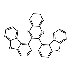 c1ccc2nc(-c3cccc4oc5ccccc5c34)c(-c3cccc4oc5ccccc5c34)nc2c1